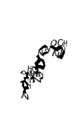 N#Cc1ccc(CC(Nc2ncnc(Nc3cccc(CN4CCN(C(=O)c5nccnc5O)CC4)c3)n2)C(=O)O)cc1